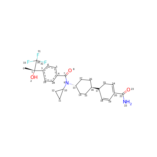 C[C@](O)(c1ccc(C(=O)N(C2CC2)[C@H]2CC[C@H](C3C=CC(C(N)=O)=CC3)CC2)cc1)C(F)(F)F